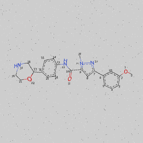 COc1cccc(-c2cc(C(=O)Nc3ccc(C4CNCCO4)cc3)n(C)n2)c1